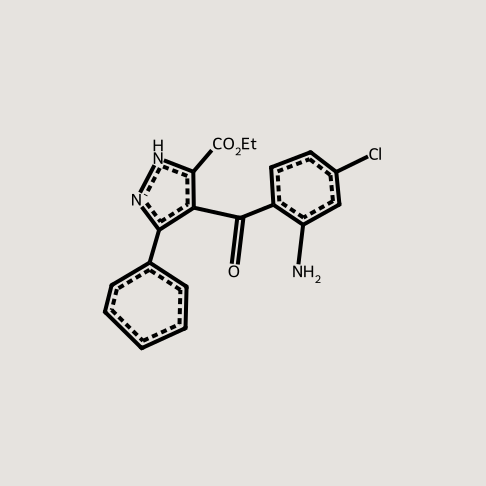 CCOC(=O)c1[nH]nc(-c2ccccc2)c1C(=O)c1ccc(Cl)cc1N